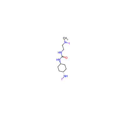 CN(I)CCNC(=O)N[C@H]1CC[C@H](NI)CC1